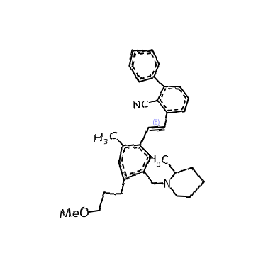 COCCCc1cc(C)c(/C=C/c2cccc(-c3ccccc3)c2C#N)cc1CN1CCCCC1C